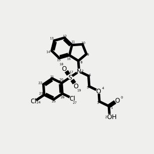 O=C(O)COCCN(C1CCc2ccccc21)S(=O)(=O)c1ccc(Cl)cc1Cl